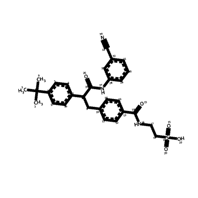 CC(C)(C)c1ccc(C(Cc2ccc(C(=O)NCCS(=O)(=O)O)cc2)C(=O)Nc2cccc(C#N)c2)cc1